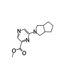 COC(=O)c1cncc(N2CC3CCCC3C2)n1